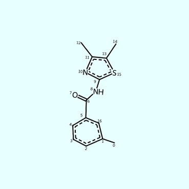 Cc1cccc(C(=O)Nc2nc(C)c(C)s2)c1